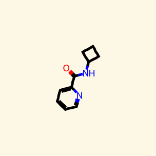 O=C(NC1CCC1)c1ccccn1